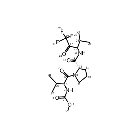 COC(=O)N[C@H](C(=O)N1CCC[C@H]1C(=O)N[C@@H](C(=O)C(F)(F)F)C(C)C)C(C)C